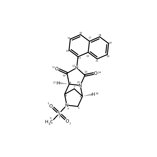 CS(=O)(=O)N1C[C@H]2CC1[C@H]1C(=O)N(c3cccc4ccccc34)C(=O)N21